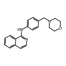 c1ccc2c(Nc3ccc(CN4CCOCC4)cc3)nccc2c1